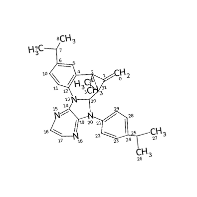 C=C1C2(C)c3cc(C(C)C)ccc3N3c4nccnc4N(c4ccc(C(C)C)cc4)C3C12C